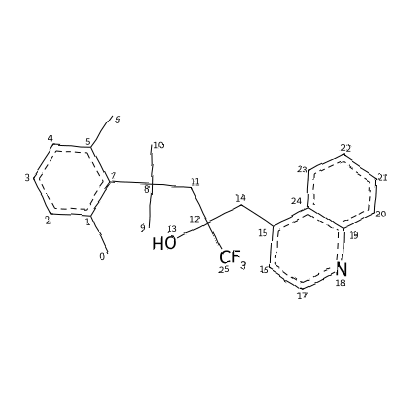 Cc1cccc(C)c1C(C)(C)CC(O)(Cc1ccnc2ccccc12)C(F)(F)F